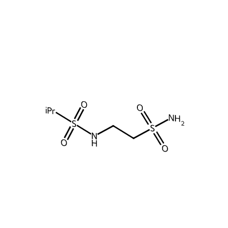 CC(C)S(=O)(=O)NCCS(N)(=O)=O